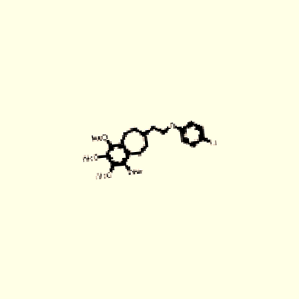 COc1c2c(c(OC)c(OC)c1OC)CCC(CCOc1ccc(Cl)cc1)CC2